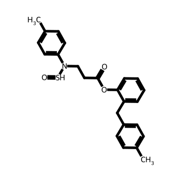 Cc1ccc(Cc2ccccc2OC(=O)CCN([SH]=O)c2ccc(C)cc2)cc1